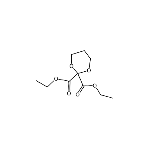 CCOC(=O)C1(C(=O)OCC)OCCCO1